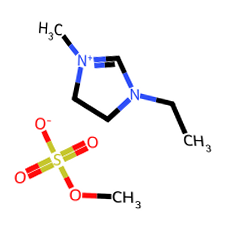 CCN1C=[N+](C)CC1.COS(=O)(=O)[O-]